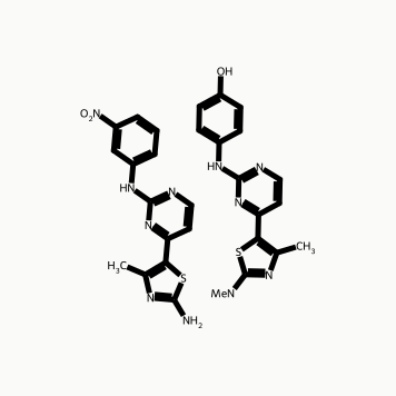 CNc1nc(C)c(-c2ccnc(Nc3ccc(O)cc3)n2)s1.Cc1nc(N)sc1-c1ccnc(Nc2cccc([N+](=O)[O-])c2)n1